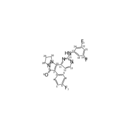 O=c1c(-c2ccc(F)cc2)c(-c2ccnc(Nc3cc(F)cc(F)c3)n2)n2n1CCC2